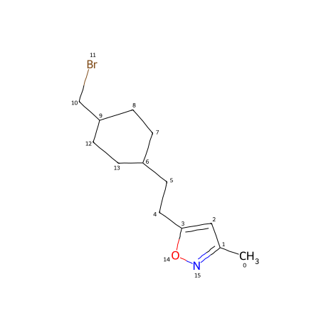 Cc1cc(CCC2CCC(CBr)CC2)on1